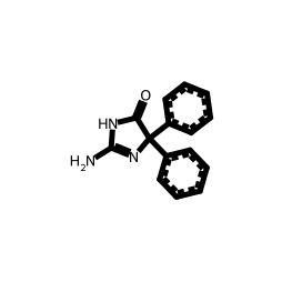 NC1=NC(c2ccccc2)(c2ccccc2)C(=O)N1